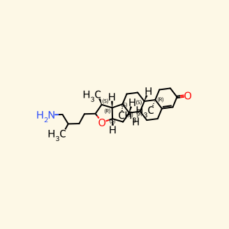 CC(CN)CCC1O[C@H]2C[C@H]3[C@@H]4CCC5=CC(=O)CC[C@]5(C)[C@H]4CC[C@]3(C)[C@H]2[C@@H]1C